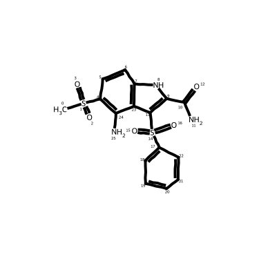 CS(=O)(=O)c1ccc2[nH]c(C(N)=O)c(S(=O)(=O)c3ccccc3)c2c1N